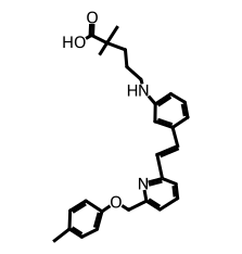 Cc1ccc(OCc2cccc(C=Cc3cccc(NCCCC(C)(C)C(=O)O)c3)n2)cc1